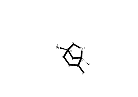 CC(C)[C@]12CCC(C)[C@@](C)(C1)OC2